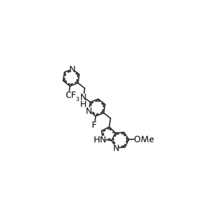 COc1cnc2[nH]cc(Cc3ccc(NCc4cnccc4C(F)(F)F)nc3F)c2c1